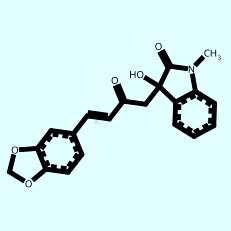 CN1C(=O)C(O)(CC(=O)/C=C/c2ccc3c(c2)OCO3)c2ccccc21